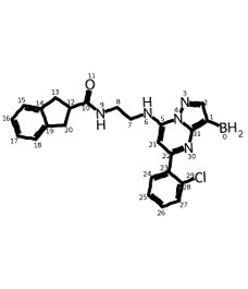 Bc1cnn2c(NCCNC(=O)C3Cc4ccccc4C3)cc(-c3ccccc3Cl)nc12